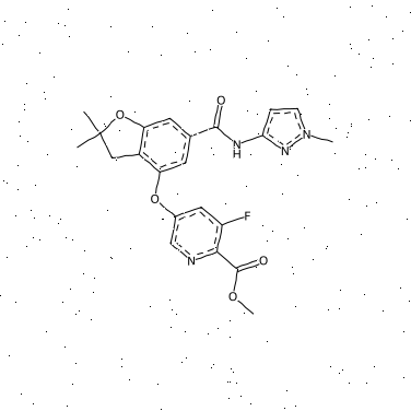 COC(=O)c1ncc(Oc2cc(C(=O)Nc3ccn(C)n3)cc3c2CC(C)(C)O3)cc1F